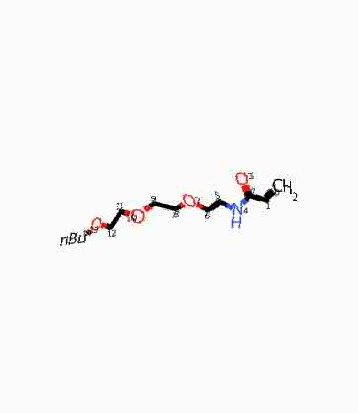 C=CC(=O)NCCOCCOCCOCCCC